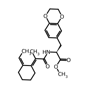 C/C=C1/CCCC/C1=C(/C)C(=O)N[C@@H](Cc1ccc2c(c1)OCCO2)C(=O)OC